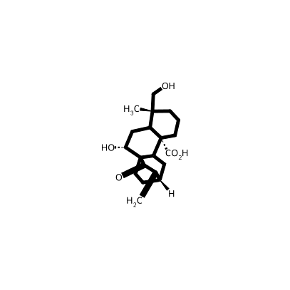 C=C1C(=O)C23CC[C@H]1CC2[C@]1(C(=O)O)CCC[C@@](C)(CO)C1C[C@H]3O